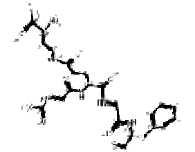 CC(=O)NCC(=O)N[C@@H](CCC(=O)NCC[C@H](N)C(N)=O)C(=O)NCC(=O)N[C@@H](C=O)Cc1ccccc1